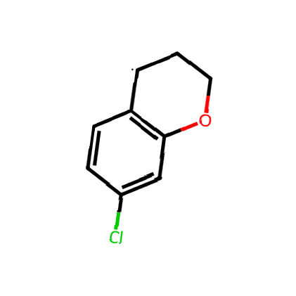 Clc1ccc2c(c1)OCC[CH]2